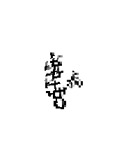 COS(=O)(=O)[O-].Cn1c(C(F)(F)C(F)(F)C(F)(F)C(F)(F)C(F)(F)F)[n+](C)c2ccccc21